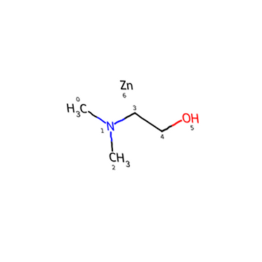 CN(C)CCO.[Zn]